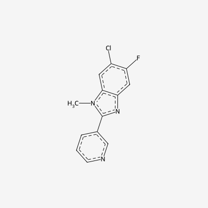 Cn1c(-c2cccnc2)nc2cc(F)c(Cl)cc21